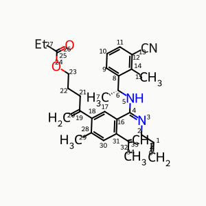 C=CC/N=C(/N[C@H](C)c1cccc(C#N)c1C)c1cc(C(=C)CCCOC(=O)CC)c(C)cc1C(=C)C